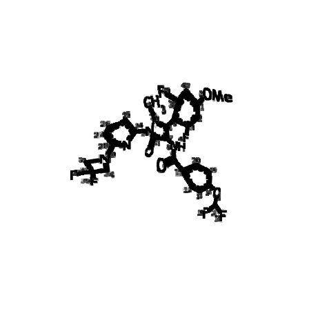 COc1cc(F)c(-c2c(NC(=O)c3ccc(OC(F)F)cc3)c(=O)n(-c3cccc(N4CC(F)(F)C4)n3)n2C)c(F)c1